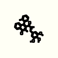 COc1cc(CN(C)C(=O)c2c(-c3ccccc3C)c3ccccc3c(=O)n2C)cc(OC)c1OC